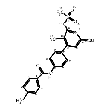 Cc1ccc(C(=O)Nc2ccc(-c3cc(C(C)(C)C)nc(OS(=O)(=O)C(F)(F)F)c3C#N)cc2)cc1